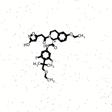 CCOCC(C)(C)c1c(F)cc(NC(=O)[C@H]2c3ccc(OCC)cc3CCN2C(=O)Cc2cc(O)no2)cc1F